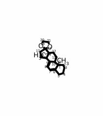 C[C@]12CCCCC1=CC=C1C2CC[C@@]2(C)C1CCC21OCCO1